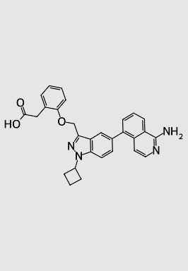 Nc1nccc2c(-c3ccc4c(c3)c(COc3ccccc3CC(=O)O)nn4C3CCC3)cccc12